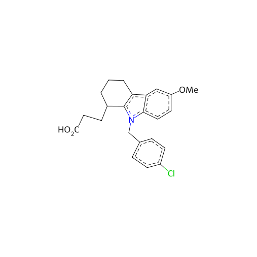 COc1ccc2c(c1)c1c(n2Cc2ccc(Cl)cc2)C(CCC(=O)O)CCC1